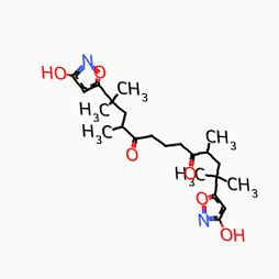 CC(CC(C)(C)c1cc(O)no1)C(=O)CCCC(=O)C(C)CC(C)(C)c1cc(O)no1